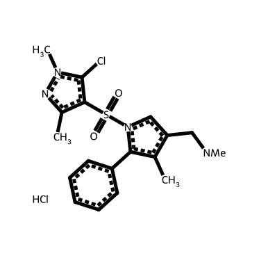 CNCc1cn(S(=O)(=O)c2c(C)nn(C)c2Cl)c(-c2ccccc2)c1C.Cl